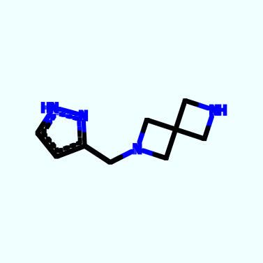 c1cc(CN2CC3(CNC3)C2)n[nH]1